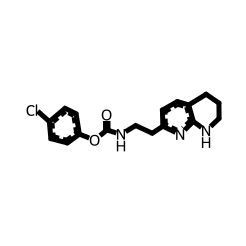 O=C(NCCc1ccc2c(n1)NCCC2)Oc1ccc(Cl)cc1